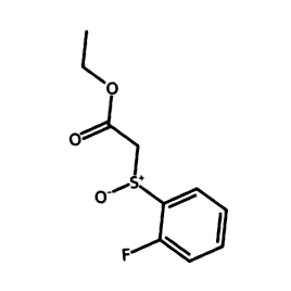 CCOC(=O)C[S+]([O-])c1ccccc1F